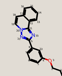 CCCOc1cccc(-c2nc3c4ccccc4ccn3n2)c1